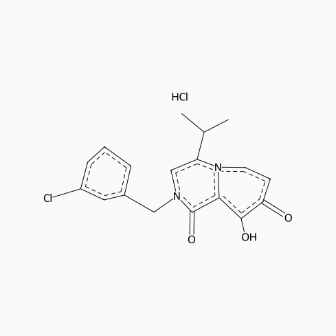 CC(C)c1cn(Cc2cccc(Cl)c2)c(=O)c2c(O)c(=O)ccn12.Cl